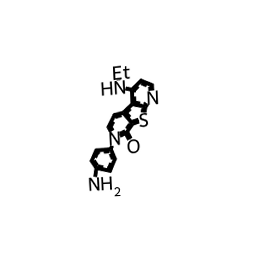 CCNc1ccnc2sc3c(=O)n(-c4ccc(N)cc4)ccc3c12